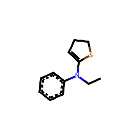 CCN(C1=CCCS1)c1ccccc1